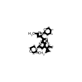 Cc1cc(-c2nsc3c(C4(C(F)F)CC4)cc(N4CCOC[C@H]4C)nc23)n(C2CCCCO2)n1